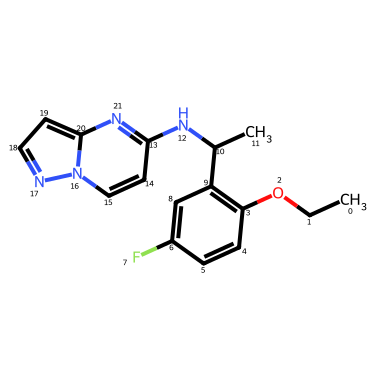 CCOc1ccc(F)cc1C(C)Nc1ccn2nccc2n1